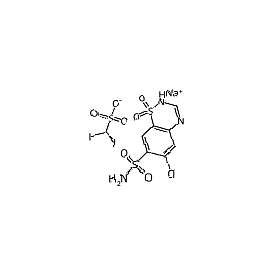 NS(=O)(=O)c1cc2c(cc1Cl)N=CNS2(=O)=O.O=S(=O)([O-])C(I)I.[Na+]